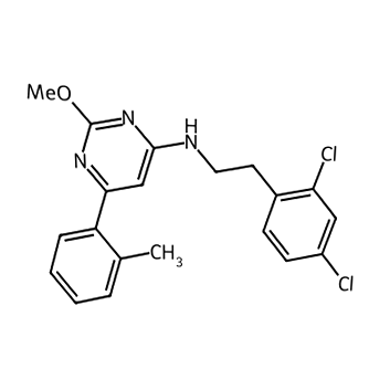 COc1nc(NCCc2ccc(Cl)cc2Cl)cc(-c2ccccc2C)n1